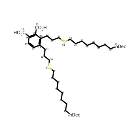 CCCCCCCCCCCCCCCCCCSCCCc1ccc(C(=O)O)c(C(=O)O)c1CCCSCCCCCCCCCCCCCCCCCC